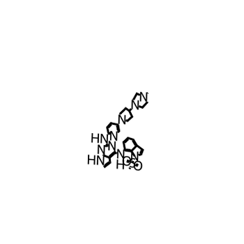 CN1CCN(C2CCN(c3ccc(Nc4nc(Nc5cccc6ccn(S(C)(=O)=O)c56)c5cc[nH]c5n4)nc3)CC2)CC1